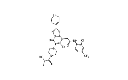 CCc1c(N2CCN(C(=O)C(C)O)CC2)c(=O)n2nc(C3=CCOCC3)nc2n1CC(=O)Nc1ccc(C(F)(F)F)cc1Cl